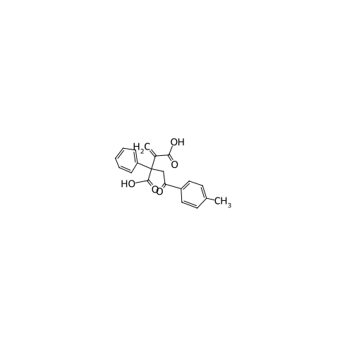 C=C(C(=O)O)C(CC(=O)c1ccc(C)cc1)(C(=O)O)c1ccccc1